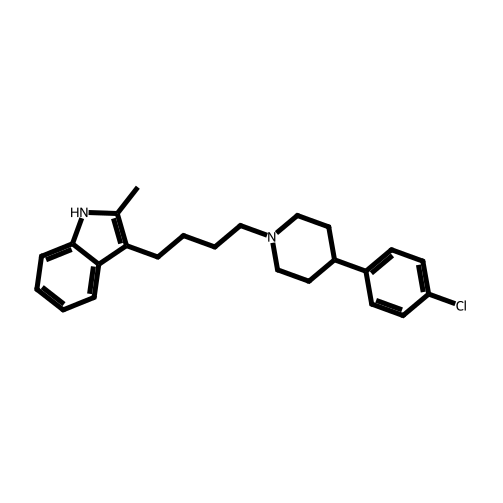 Cc1[nH]c2ccccc2c1CCCCN1CCC(c2ccc(Cl)cc2)CC1